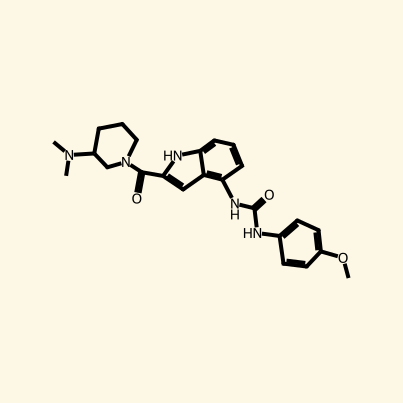 COc1ccc(NC(=O)Nc2cccc3[nH]c(C(=O)N4CCCC(N(C)C)C4)cc23)cc1